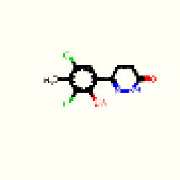 Cc1c(Cl)cc(C2=NNC(=O)CC2)c(O)c1Cl